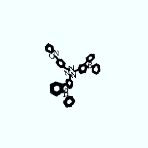 C1=CCCC(B2c3ccccc3-c3cc(-c4nc(-c5ccc(-c6nc7ccccc7o6)cc5)nc(-c5ccc6c(c5)-c5ccccc5B6c5ccccc5)n4)ccc32)=C1